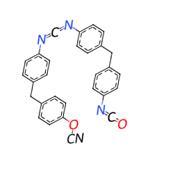 N#COc1ccc(Cc2ccc(N=C=Nc3ccc(Cc4ccc(N=C=O)cc4)cc3)cc2)cc1